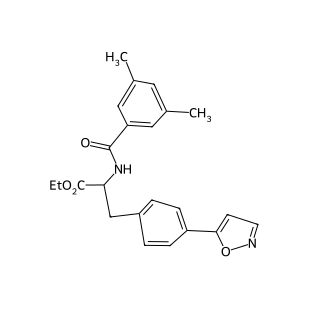 CCOC(=O)C(Cc1ccc(-c2ccno2)cc1)NC(=O)c1cc(C)cc(C)c1